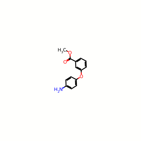 COC(=O)c1cccc(Oc2ccc(N)cc2)c1